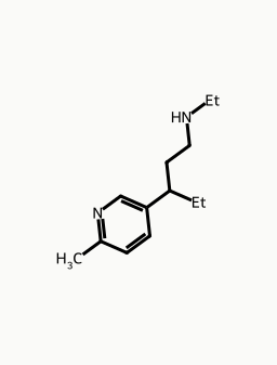 CCNCCC(CC)c1ccc(C)nc1